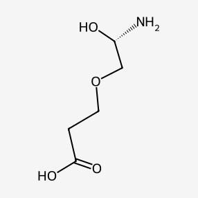 N[C@@H](O)COCCC(=O)O